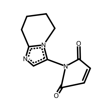 O=C1C=CC(=O)N1c1cnc2n1CCCC2